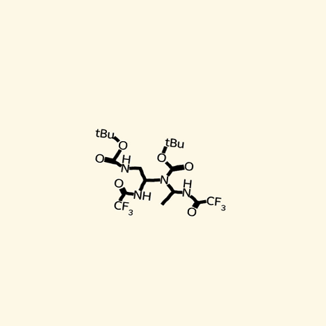 CC(NC(=O)C(F)(F)F)N(C(=O)OC(C)(C)C)C(CNC(=O)OC(C)(C)C)NC(=O)C(F)(F)F